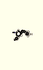 CC/C=C/[C@H]1CCC[C@H](OC2CC[C@H](N(C)C)[C@@H](C)O2)[C@@H](C)C(=O)C2=CC3C(C=CC4C[C@@H](O[C@@H]5O[C@@H](C)[C@H](OC)[C@@H](O)[C@H]5OC)CC43)C2CC(=O)O1